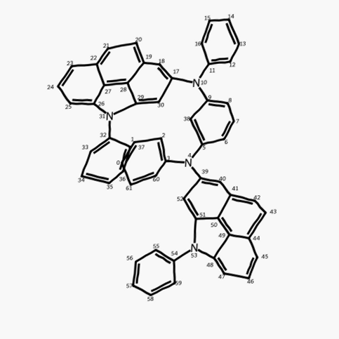 c1ccc(N(c2cccc(N(c3ccccc3)c3cc4ccc5cccc6c5c4c(c3)n6-c3ccccc3)c2)c2cc3ccc4cccc5c4c3c(c2)n5-c2ccccc2)cc1